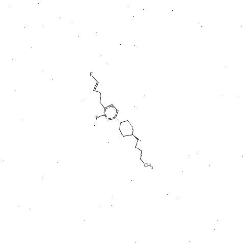 CCCCC[C@H]1CC[C@H](c2ccc(CC/C=C/F)c(F)c2)CC1